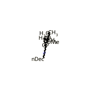 CCCCCCCCCCCCC/C=C/CCCCC(=O)O[C@@H]1CC[C@]2(CO2)[C@@H](C(C)(C)OCC=C(C)C)[C@@H]1OC